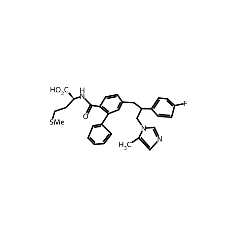 CSCC[C@H](NC(=O)c1ccc(CC(Cn2cncc2C)c2ccc(F)cc2)cc1-c1ccccc1)C(=O)O